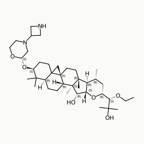 CCO[C@@H]([C@H]1C[C@@H](C)[C@H]2[C@H](O1)[C@H](O)[C@@]1(C)[C@@H]3CC[C@H]4C(C)(C)[C@@H](O[C@H]5CN(C6CNC6)CCO5)CCC45C[C@@]35CC[C@]21C)C(C)(C)O